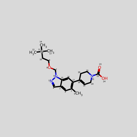 Cc1cc2cnn(COCC[Si](C)(C)C)c2cc1C1=CCN(C(=O)O)CC1